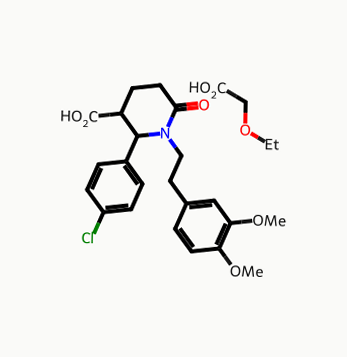 CCOCC(=O)O.COc1ccc(CCN2C(=O)CCC(C(=O)O)C2c2ccc(Cl)cc2)cc1OC